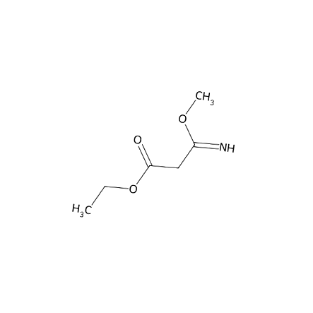 CCOC(=O)CC(=N)OC